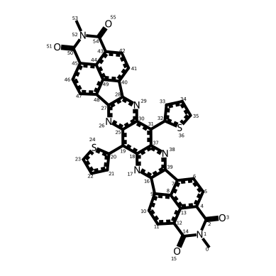 CN1C(=O)c2ccc3c4c(ccc(c24)C1=O)-c1nc2c(-c4cccs4)c4nc5c(nc4c(-c4cccs4)c2nc1-3)-c1ccc2c3c(ccc-5c13)C(=O)N(C)C2=O